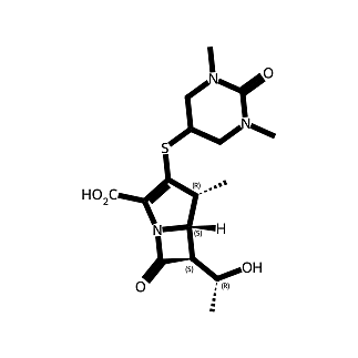 C[C@@H](O)[C@H]1C(=O)N2C(C(=O)O)=C(SC3CN(C)C(=O)N(C)C3)[C@H](C)[C@H]12